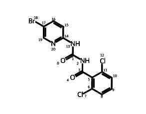 O=C(NC(=O)c1c(Cl)cccc1Cl)Nc1ccc(Br)cn1